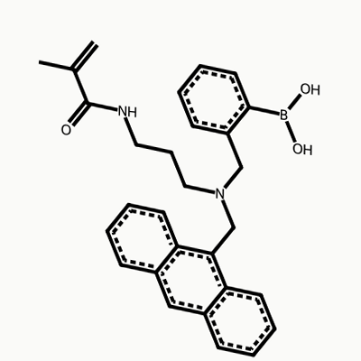 C=C(C)C(=O)NCCCN(Cc1ccccc1B(O)O)Cc1c2ccccc2cc2ccccc12